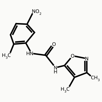 Cc1ccc([N+](=O)[O-])cc1NC(=O)Nc1onc(C)c1C